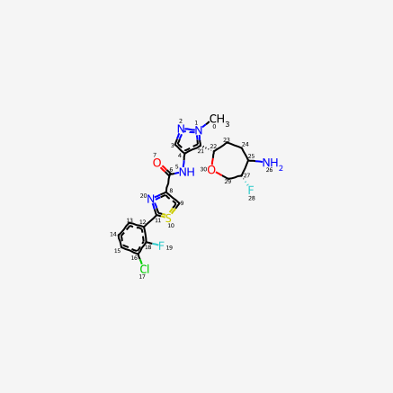 Cn1ncc(NC(=O)c2csc(-c3cccc(Cl)c3F)n2)c1[C@@H]1CCC(N)[C@H](F)CO1